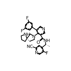 C[C@@H](NC(=O)c1cncc(-c2cc(F)cc(F)c2)c1N1CC[C@@]2(CCCN2)C1)c1cc(C#N)ncc1F